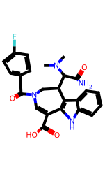 CN(C)C(C(N)=O)C1CN(C(=O)c2ccc(F)cc2)C=C(C(=O)O)c2[nH]c3ccccc3c21